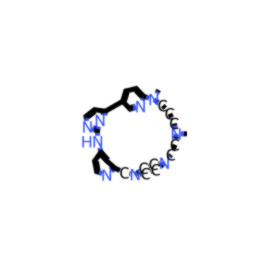 CN1CCCN(C)c2ccc(cn2)-c2ccnc(n2)Nc2ccnc(c2)CN2CCN(CC1)CC2